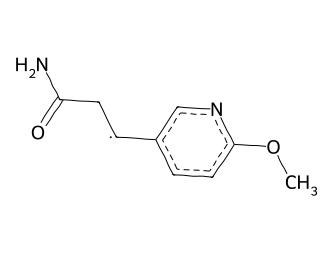 COc1ccc([CH]CC(N)=O)cn1